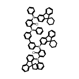 Clc1c(N(c2ccccc2)c2cccc(-c3cccc(N(c4ccc5c(c4)C4(CCCCC4)c4ccccc4-5)c4cccc(N(c5ccccc5)c5cccc6c5C5(CCCC5)c5ccccc5-6)c4Cl)c3)c2)cccc1N(c1ccccc1)c1ccc2c(c1)-c1ccccc1C21CCCCC1